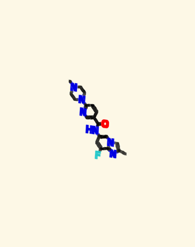 Cc1cn2cc(NC(=O)c3ccc(N4CCN(C)CC4)nc3)cc(F)c2n1